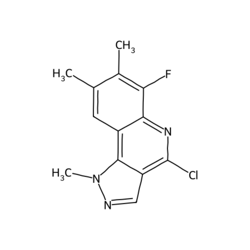 Cc1cc2c(nc(Cl)c3cnn(C)c32)c(F)c1C